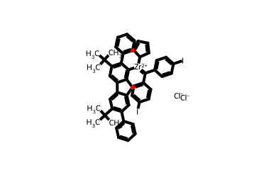 CC(C)(C)c1cc2c(cc1-c1ccccc1)Cc1c-2cc(C(C)(C)C)c(-c2ccccc2)[c]1[Zr+2](=[C](c1ccc(I)cc1)c1ccc(I)cc1)[CH]1C=CC=C1.[Cl-].[Cl-]